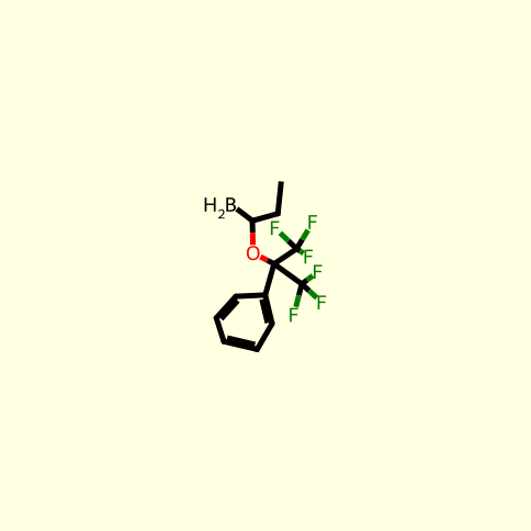 BC(CC)OC(c1ccccc1)(C(F)(F)F)C(F)(F)F